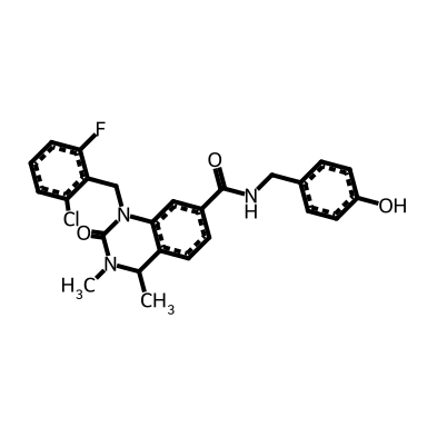 CC1c2ccc(C(=O)NCc3ccc(O)cc3)cc2N(Cc2c(F)cccc2Cl)C(=O)N1C